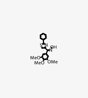 COc1cc(/C(=N/O)c2csc(-c3ccccc3)n2)cc(OC)c1OC